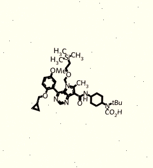 COc1ccc(OCC2CC2)c(-c2ncnc3c(C(=O)NC4CCC(N(C(=O)O)C(C)(C)C)CC4)c(C)n(COCC[Si](C)(C)C)c23)c1